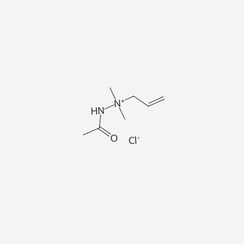 C=CC[N+](C)(C)NC(C)=O.[Cl-]